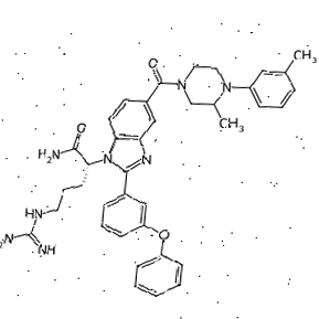 Cc1cccc(N2CCN(C(=O)c3ccc4c(c3)nc(-c3cccc(Oc5ccccc5)c3)n4[C@H](CCCNC(=N)N)C(N)=O)CC2C)c1